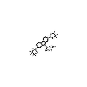 CCCCCCCCC(CCCCCCCC)n1c2cc(B3OC(C)C(C)(C)O3)ccc2c2ccc(B3OC(C)(C)C(C)(C)O3)cc21